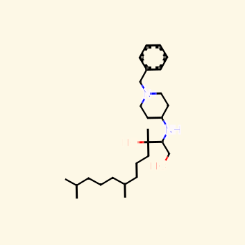 CC(C)CCCC(C)CCCC(C)(O)C(CO)NC1CCN(Cc2ccccc2)CC1